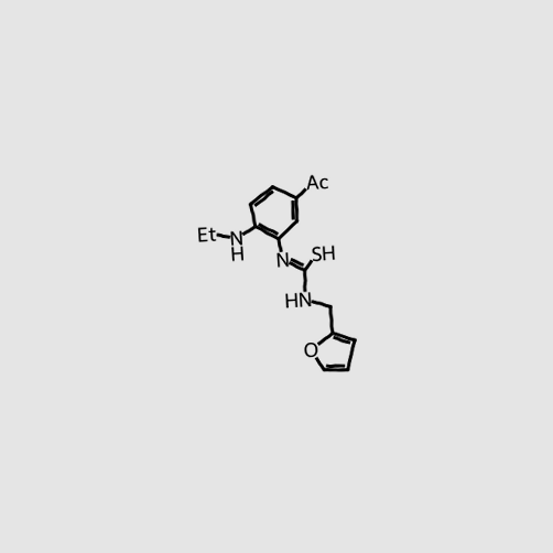 CCNc1ccc(C(C)=O)cc1N=C(S)NCc1ccco1